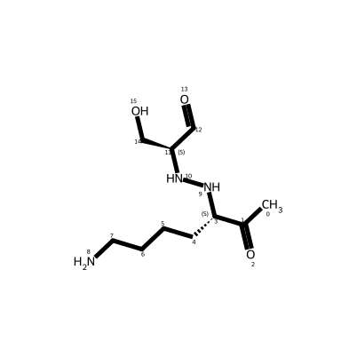 CC(=O)[C@H](CCCCN)NN[C@H](C=O)CO